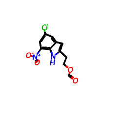 O=COCCc1cc2cc(Cl)cc([N+](=O)[O-])c2[nH]1